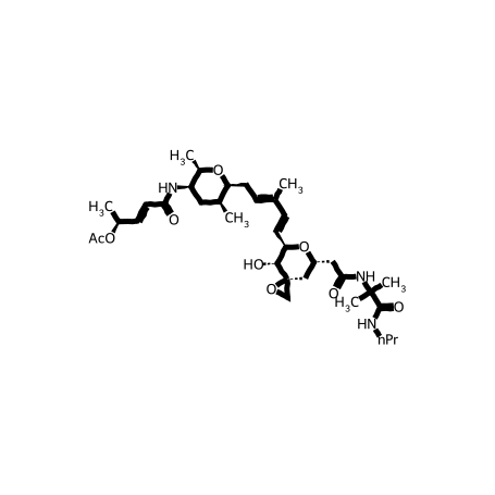 CCCNC(=O)C(C)(C)NC(=O)C[C@@H]1C[C@@]2(CO2)[C@H](O)[C@@H](C=CC(C)=CC[C@@H]2O[C@H](C)[C@H](NC(=O)C=C[C@H](C)OC(C)=O)C[C@@H]2C)O1